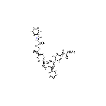 CNC(=O)Nc1ccc(-c2nc(N3CCOCC3)c3cnn(C4CCN(C(=O)CCC(=O)/C=C/c5ccccc5)CC4)c3n2)cc1